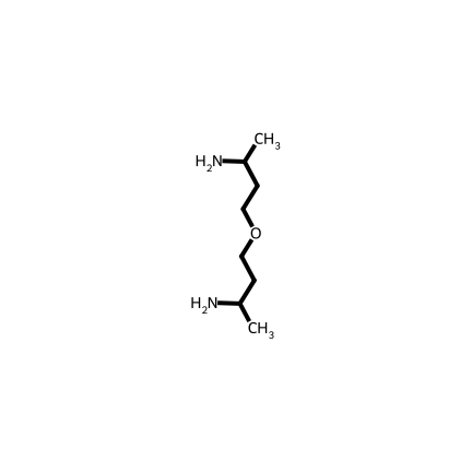 CC(N)CCOCCC(C)N